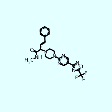 CNC(=O)C(C=Cc1ccccc1)N1CCN(c2ncc(-c3noc(C(F)(F)F)n3)cn2)CC1